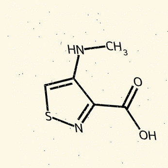 CNc1csnc1C(=O)O